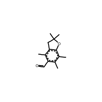 Cc1c(C)c2c(c(C)c1C=O)CC(C)(C)O2